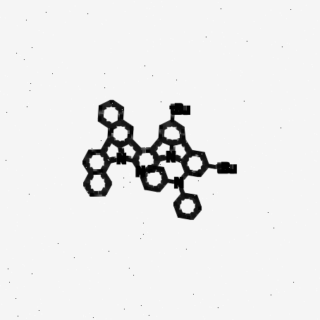 CC(C)(C)c1cc(N(c2ccccc2)c2ccccc2)c2c(c1)c1cc(C(C)(C)C)cc3c4c5c6cc7ccccc7c7c8ccc9ccccc9c8n(c5ncc4n2c13)c67